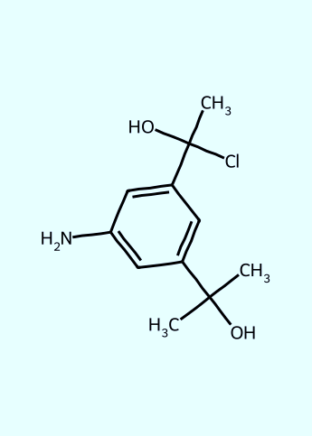 CC(C)(O)c1cc(N)cc(C(C)(O)Cl)c1